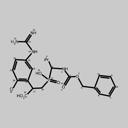 CC(C)C(NC(=O)OCc1ccccc1)P(=O)(O)CC(C(=O)O)c1cc(NC(=N)N)ccc1Cl